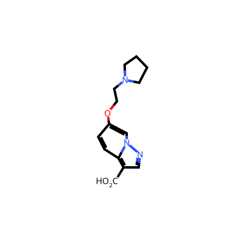 O=C(O)c1cnn2cc(OCCN3CCCC3)ccc12